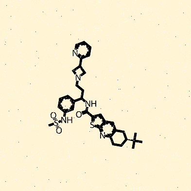 CC(C)(C)[C@H]1CCc2nc3sc(C(=O)NC(CCN4CC(c5ccccn5)C4)c4cccc(NS(C)(=O)=O)c4)cc3cc2C1